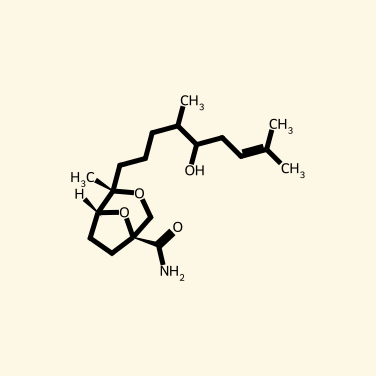 CC(C)=CCC(O)C(C)CCC[C@]1(C)OC[C@]2(C(N)=O)CC[C@H]1O2